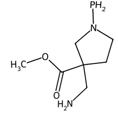 COC(=O)C1(CN)CCN(P)C1